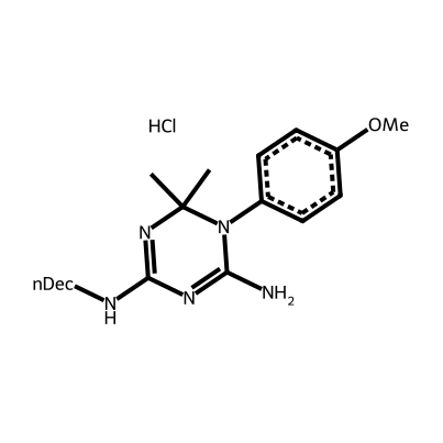 CCCCCCCCCCNC1=NC(C)(C)N(c2ccc(OC)cc2)C(N)=N1.Cl